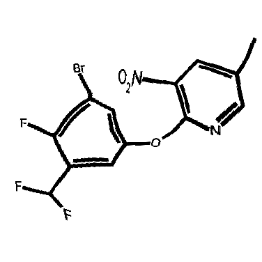 Cc1cnc(Oc2cc(Br)c(F)c(C(F)F)c2)c([N+](=O)[O-])c1